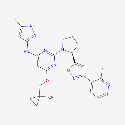 Cc1cc(Nc2cc(OCC3(C#N)CC3)nc(N3CCC[C@H]3c3cc(-c4cccnc4C)no3)n2)n[nH]1